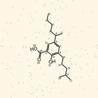 CCCCC(C)c1cc(CCCC(C)C)c(O)c(C(=O)O)c1